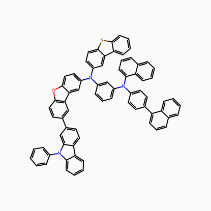 c1ccc(-n2c3ccccc3c3ccc(-c4ccc5oc6ccc(N(c7cccc(N(c8ccc(-c9cccc%10ccccc9%10)cc8)c8cccc9ccccc89)c7)c7ccc8sc9ccccc9c8c7)cc6c5c4)cc32)cc1